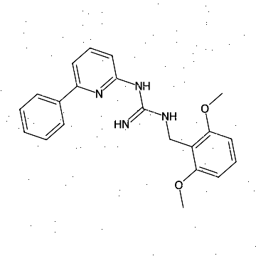 COc1cccc(OC)c1CNC(=N)Nc1cccc(-c2ccccc2)n1